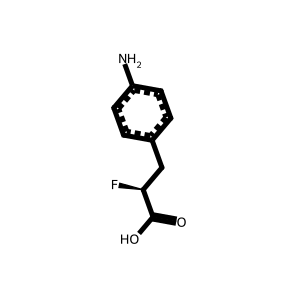 Nc1ccc(C[C@H](F)C(=O)O)cc1